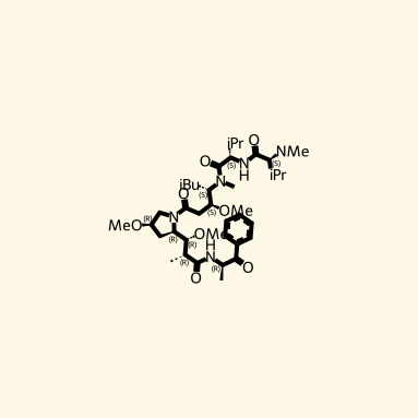 CCC(C)[C@@H]([C@H](CC(=O)N1C[C@H](OC)C[C@@H]1[C@H](OC)[C@@H](C)C(=O)N[C@H](C)C(=O)c1ccccc1)OC)N(C)C(=O)[C@@H](NC(=O)[C@@H](NC)C(C)C)C(C)C